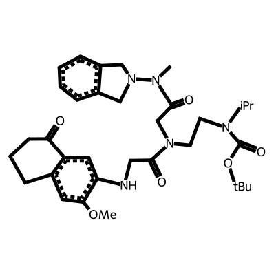 COc1cc2c(cc1NCC(=O)N(CCN(C(=O)OC(C)(C)C)C(C)C)CC(=O)N(C)N1Cc3ccccc3C1)C(=O)CCC2